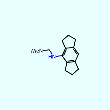 CNCNc1c2c(cc3c1CCC3)CCC2